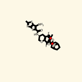 Cc1nc2sc(C(=O)N[C@H]3COc4c(F)c(C5CC6CCC(C5)N6C(=O)OC(C)(C)C)cc(F)c4C3)c(N)c2s1